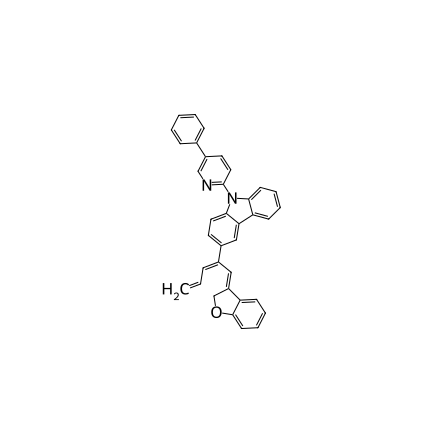 C=C/C=C(\C=C1/COc2ccccc21)c1ccc2c(c1)c1ccccc1n2-c1ccc(-c2ccccc2)cn1